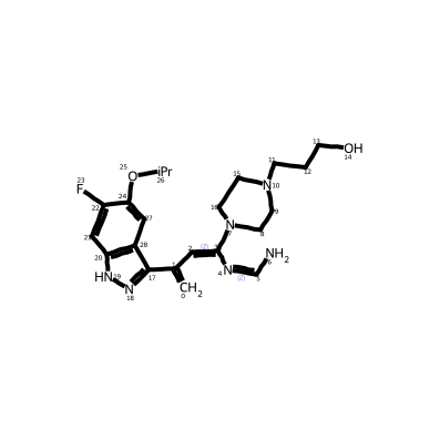 C=C(/C=C(\N=C/N)N1CCN(CCCO)CC1)c1n[nH]c2cc(F)c(OC(C)C)cc12